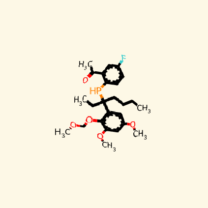 CCCCC(CC)(Pc1ccc(F)cc1C(C)=O)c1cc(OC)cc(OC)c1OCOC